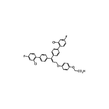 O=C(O)COc1ccc(OCC=C(c2ccc(-c3ccc(F)cc3Cl)cc2)c2ccc(-c3ccc(F)cc3Cl)cc2)cc1